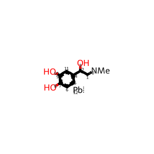 CNCC(O)c1ccc(O)c(O)c1.[Pb]